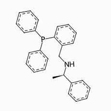 C[C@@H](NCc1ccccc1P(c1ccccc1)c1ccccc1)c1ccccc1